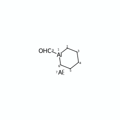 O=[CH][Al]1[CH2]CCC[CH2]1.[Al]